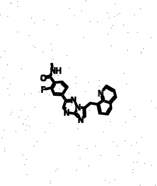 CNC(=O)c1ccc(-c2cnc3ncc(Cc4cccc5cccnc45)n3n2)cc1F